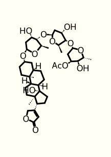 CC(=O)O[C@H]1C[C@H](O[C@H]2[C@@H](O)C[C@H](O[C@H]3[C@@H](O)C[C@H](O[C@H]4CC[C@@]5(C)[C@H](CC[C@@H]6[C@@H]5CC[C@]5(C)[C@@H](C7=CC(=O)OC7)CC[C@]65O)C4)O[C@@H]3C)O[C@@H]2C)O[C@H](C)[C@H]1O